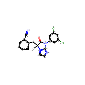 CC1(Cc2ccccc2C#N)C(=O)N(c2cc(Cl)cc(Cl)c2)c2nccn21